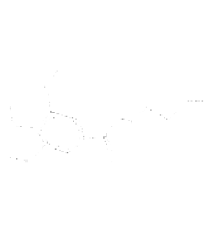 [CH2]CCCOOC(=O)c1cc(OC)c(OC)c(OC)c1